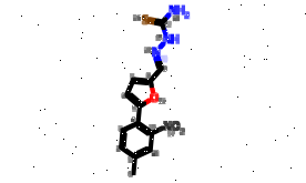 Cc1ccc(-c2ccc(/C=N/NC(N)=S)o2)c([N+](=O)[O-])c1